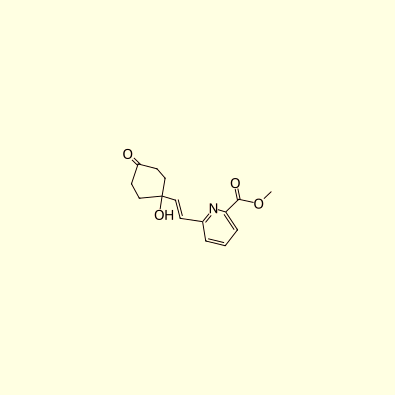 COC(=O)c1cccc(/C=C/C2(O)CCC(=O)CC2)n1